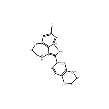 Brc1cc2c3c(c(-c4ccc5c(c4)OCCO5)[nH]c3c1)NCCO2